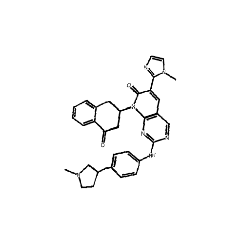 CN1CCC(c2ccc(Nc3ncc4cc(-c5nccn5C)c(=O)n(C5CC(=O)c6ccccc6C5)c4n3)cc2)C1